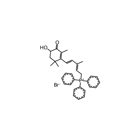 CC(C=CC1=C(C)C(=O)C(O)CC1(C)C)=CC[P+](c1ccccc1)(c1ccccc1)c1ccccc1.[Br-]